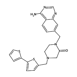 Nc1ncnc2cc(CN3CCN(Cc4ccc(-c5cccs5)s4)CC3=O)ccc12